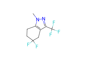 Cn1nc(C(F)(F)F)c2c1CCC(F)(F)C2